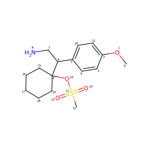 COc1ccc(C(CN)C2(OS(C)(=O)=O)CCCCC2)cc1